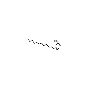 CCCCCCCCCCCCC1(CC(=O)O)CC1